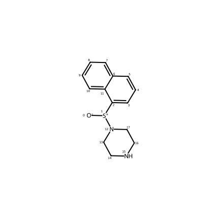 [O-][S+](c1cccc2ccccc12)N1CCNCC1